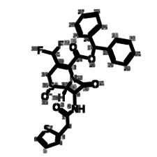 O=C(Cc1cccs1)NC1C(=O)N2C(C(=O)OC(c3ccccc3)c3ccccc3)=C(C(F)F)C[S+]([O-])[C@@H]12